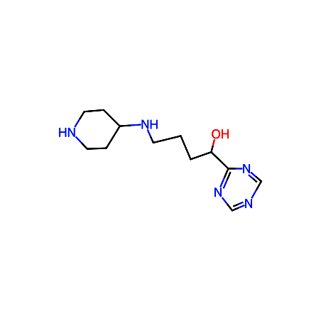 OC(CCCNC1CCNCC1)c1ncncn1